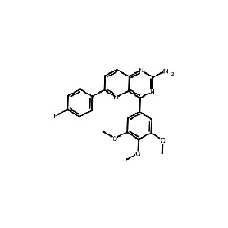 COc1cc(-c2nc(N)nc3ccc(-c4ccc(F)cc4)nc23)cc(OC)c1OC